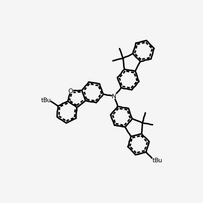 CC(C)(C)c1ccc2c(c1)C(C)(C)c1cc(N(c3ccc4c(c3)C(C)(C)c3ccccc3-4)c3ccc4oc5c(C(C)(C)C)cccc5c4c3)ccc1-2